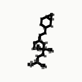 CO[SiH](CCC1CCC2OC2C1)O[Si](C)(C)OC[SiH](C)C